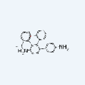 CC(C)c1ccccc1-c1c(N)ccc(-c2ccc(N)cc2)c1-c1ccccc1C(C)C